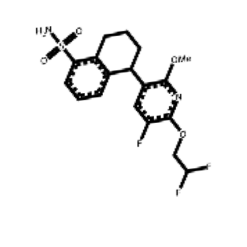 COc1nc(OCC(F)F)c(F)cc1C1CCCc2c1cccc2S(N)(=O)=O